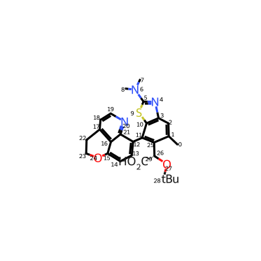 Cc1cc2nc(N(C)C)sc2c(-c2ccc3c4c(ccnc24)CCO3)c1[C@H](OC(C)(C)C)C(=O)O